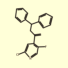 C=C(CC(c1ccccc1)c1ccccc1)c1cc(Cl)ncc1F